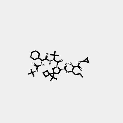 CCCC(NC(=O)[C@@H]1CC2(CN1C(=O)[C@@H](NC(=O)[C@@H](NC(=O)OC(C)(C)C)C1CCCCC1)C(C)(C)C)C(C)(C)C21CCC1)C(O)C(=O)NC1CC1